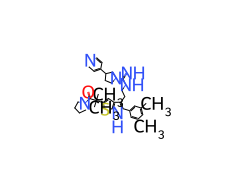 Cc1cc(C)cc(-c2[nH]c3sc(C(C)(C)C(=O)N4CCCC4)cc3c2CCNC(=N)N2CCC(c3ccncc3)C2)c1